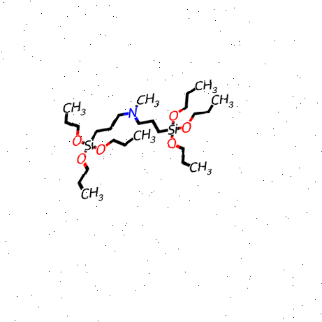 CCCO[Si](CCCN(C)CCC[Si](OCCC)(OCCC)OCCC)(OCCC)OCCC